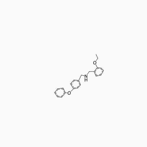 CCOc1ccccc1CNCc1ccc(Oc2ccccc2)cc1